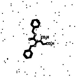 O=C(O)C[C@@H](C(=O)O)N(OCc1ccccc1)C(=O)OCc1ccccc1